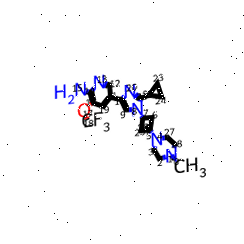 CN1CCN(C23CC(n4cc(-c5cnc(N)c(OC(F)(F)F)c5)nc4C4CC4)(C2)C3)CC1